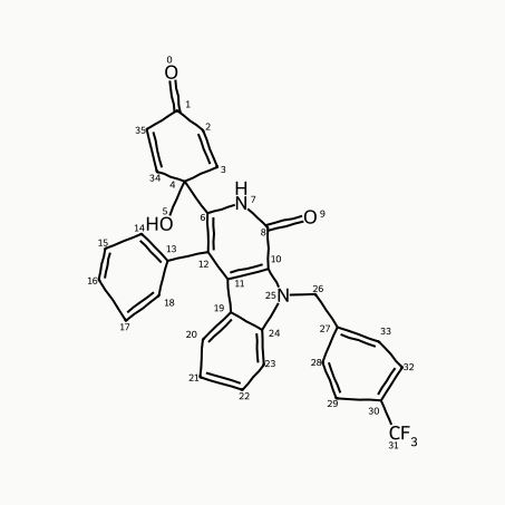 O=C1C=CC(O)(c2[nH]c(=O)c3c(c2-c2ccccc2)c2ccccc2n3Cc2ccc(C(F)(F)F)cc2)C=C1